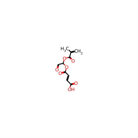 C=C(C)C(=O)OC(C=O)OC(=O)C=CC(=O)O